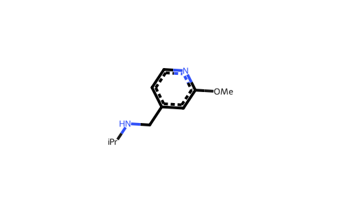 COc1cc(CNC(C)C)ccn1